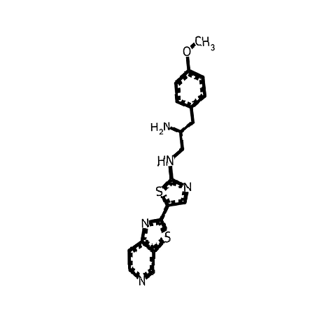 COc1ccc(CC(N)CNc2ncc(-c3nc4ccncc4s3)s2)cc1